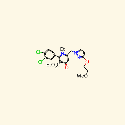 CCOC(=O)c1c(-c2ccc(Cl)c(Cl)c2)n(CC)c(Cn2ccc(OCCOC)n2)cc1=O